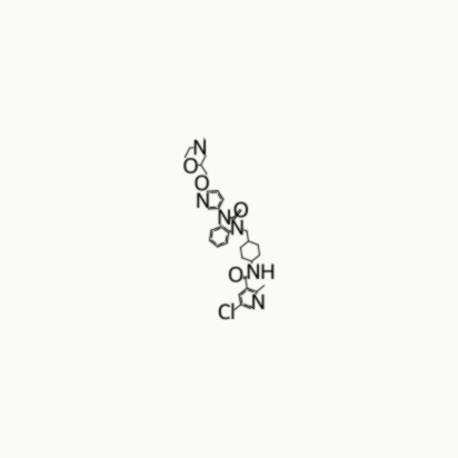 Cc1ncc(Cl)cc1C(=O)NC1CCC(Cn2c(=O)n(-c3ccc(OCC4CN(C)CCO4)nc3)c3ccccc32)CC1